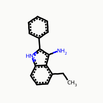 CCc1cccc2[nH]c(-c3ccccc3)c(N)c12